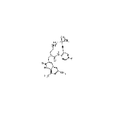 Cc1cc(C)c2[nH]c(=O)c(CN(CCO)C(=O)Nc3ccc(F)cc3C#C[Si](C)(C)C)cc2c1